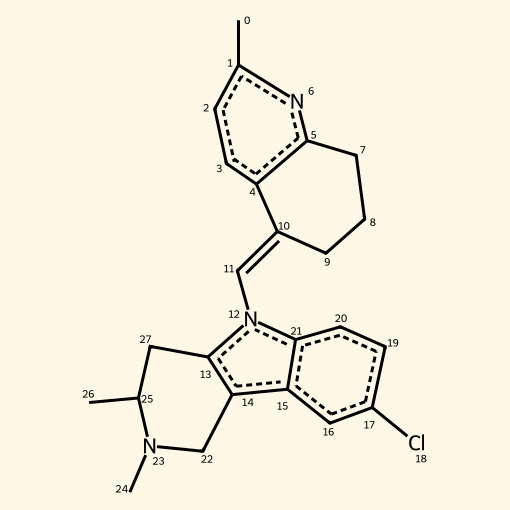 Cc1ccc2c(n1)CCC/C2=C\n1c2c(c3cc(Cl)ccc31)CN(C)C(C)C2